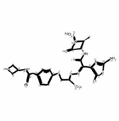 C[C@H]1[C@H](NC(=O)C(=NOC(COc2ccc(C(=N)NC3CNC3)cc2)C(=O)O)c2nc(N)sc2Cl)C(=O)N1S(=O)(=O)O